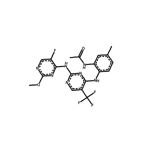 COc1ncc(F)c(Nc2ncc(C(F)(F)F)c(Nc3ccc(C)cc3NC(C)=O)n2)n1